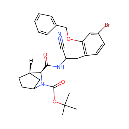 CC(C)(C)OC(=O)N1C2CC[C@@H](C2)[C@H]1C(=O)NC(C#N)Cc1ccc(Br)cc1OCc1ccccc1